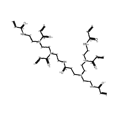 C=CC(=O)NCCN(CCC(=O)NCCN(CCN(CCNC(=O)C=C)C(=O)C=C)C(=O)C=C)CCN(CCNC(=O)C=C)C(=O)C=C